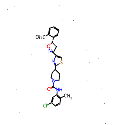 Cc1ccc(Cl)cc1NC(=O)N1CCC(c2nc(C3=NOC(c4ccccc4C=O)C3)cs2)CC1